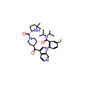 CC(C)N(C(=O)c1cc(F)ccc1-n1cc(C(=O)C2CCN(C(=O)[C@@H]3CCC(C)(C)N3)CC2)c2ccncc21)C(C)C